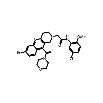 COc1ccc(Cl)cc1NC(=O)CN1CCc2nc3cc(Br)ccc3c(C(=O)N3CCOCC3)c2C1